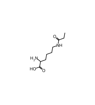 CCC(=O)NCCCCC(N)C(=O)O